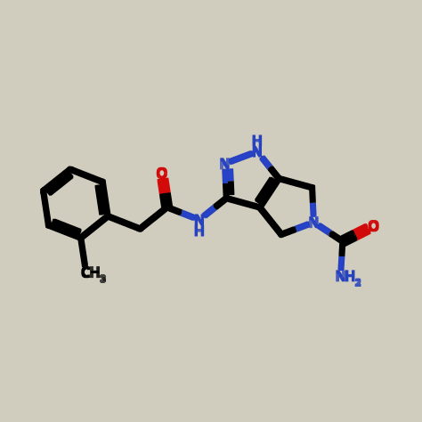 Cc1ccccc1CC(=O)Nc1n[nH]c2c1CN(C(N)=O)C2